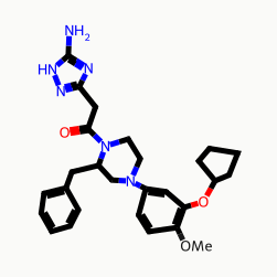 COc1ccc(N2CCN(C(=O)Cc3n[nH]c(N)n3)C(Cc3ccccc3)C2)cc1OC1CCCC1